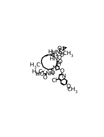 CC[C@@H]1C[C@H](C)CC/C=C\[C@@H]2C[C@@]2(C(=O)NS(=O)(=O)C2(C)CC2)NC(=O)[C@@H]2C[C@@H](Oc3cc(Cl)c4ccc(OC)cc4n3)CN2C(=O)[C@H]1NC(=O)O